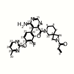 C=CC(=O)N1CC2(CCCN(C(=O)c3ncnc(N)c3-c3ccc(Oc4nccc(C)n4)c(F)c3)C2)C1